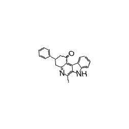 Cc1nc2c(c3c1[nH]c1ccccc13)C(=O)CC(c1ccccc1)C2